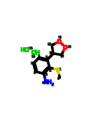 CSc1c(N)cccc1C1COOC1.Cl.Cl